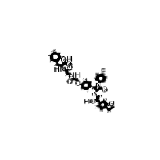 O=C(COc1ccc([C@@H]2[C@@H](SC[C@H](O)c3ccc4c(c3)OCC4)C(=O)N2c2ccc(F)cc2)cc1)NCC(=O)NC(CC1CCCCC1)C(=O)O